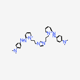 CN(C)c1ccc(/N=N/c2cccc[n+]2CCCn2cc[n+](CCC[n+]3ccccc3/N=N/c3ccc(N(C)C)cc3)c2)cc1